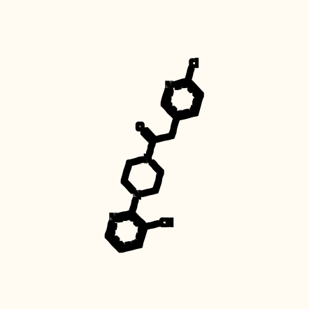 N#Cc1cccnc1N1CCN(C(=O)Cc2ccc(Cl)nc2)CC1